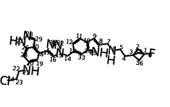 FC12CC(CCNCc3cc4ccc(Cn5cc(-c6cc(NCCCl)cc7[nH]ncc67)nn5)cc4[nH]3)(C1)C2